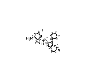 C[C@H](Nc1nc(O)nc(N)c1C#N)c1nc2ccc(F)cc2n1-c1ccccn1